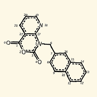 O=c1oc(=O)n(Cc2ccc3ccccc3c2)c2ncccc12